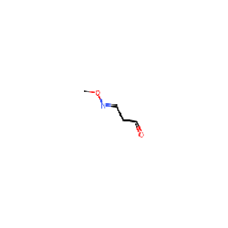 CON=CCC=O